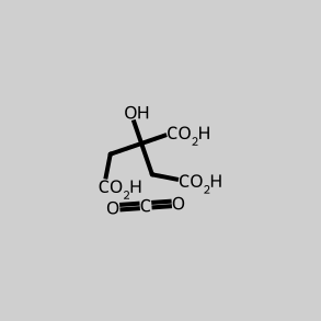 O=C(O)CC(O)(CC(=O)O)C(=O)O.O=C=O